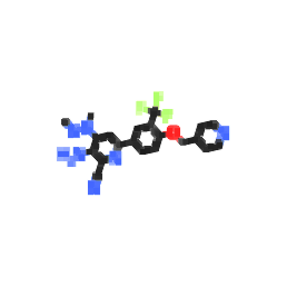 C=NN(C)c1cc(-c2ccc(OCc3ccncc3)c(C(F)(F)F)c2)nc(C#N)c1N